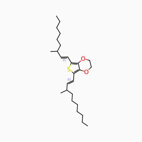 CCCCCCCC(C)/C=C/c1sc(/C=C/C(C)CCCCCC)c2c1OCCO2